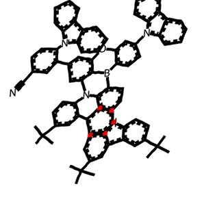 CC(C)(C)c1ccc(N2c3cc(-n4c5ccc(C(C)(C)C)cc5c5cc(C(C)(C)C)ccc54)ccc3B3c4ccc(-n5c6ccccc6c6ccccc65)cc4Oc4cc(-c5cc(C#N)ccc5-n5c6ccccc6c6ccccc65)cc2c43)c(-c2ccccc2)c1